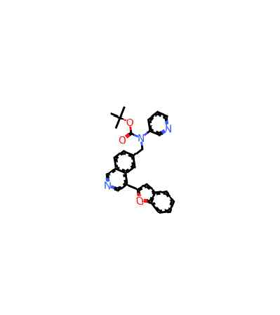 CC(C)(C)OC(=O)N(Cc1ccc2cncc(-c3cc4ccccc4o3)c2c1)c1cccnc1